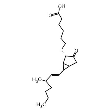 CCCCC(C)/C=C/C1C2CC(=O)[C@@H](CCCCCCC(=O)O)C12